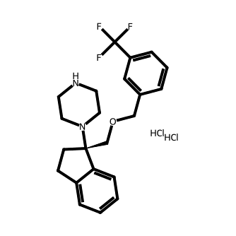 Cl.Cl.FC(F)(F)c1cccc(COC[C@]2(N3CCNCC3)CCc3ccccc32)c1